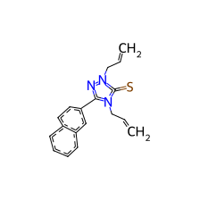 C=CCn1nc(-c2ccc3ccccc3c2)n(CC=C)c1=S